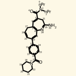 CCCN(CCC)C(=O)C1=CC2=C(C=C(c3ccc(C(=O)N4CCCCC4)cc3)C=CC2)N=C(N)C1